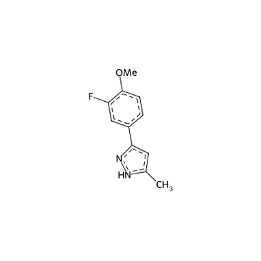 COc1ccc(-c2cc(C)[nH]n2)cc1F